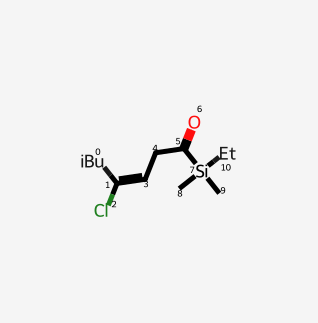 CCC(C)/C(Cl)=C\CC(=O)[Si](C)(C)CC